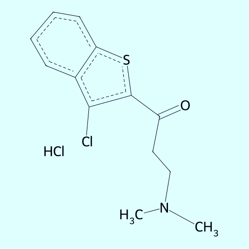 CN(C)CCC(=O)c1sc2ccccc2c1Cl.Cl